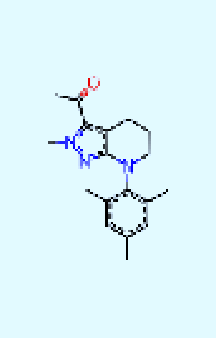 CC(=O)c1c2c(nn1C)N(c1c(C)cc(C)cc1C)CCC2